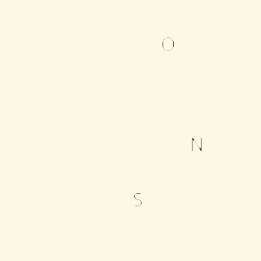 O=C1CCCC1C1=NCCS1